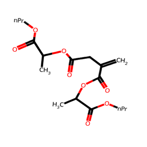 C=C(CC(=O)OC(C)C(=O)OCCC)C(=O)OC(C)C(=O)OCCC